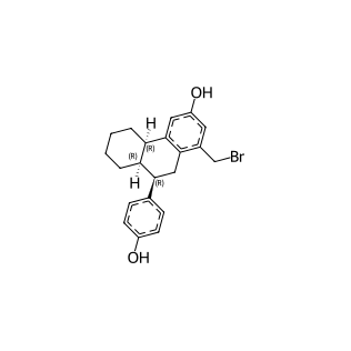 Oc1ccc([C@@H]2Cc3c(CBr)cc(O)cc3[C@@H]3CCCC[C@H]23)cc1